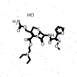 CCN(CC)CCOC(=O)C1=C(COC(N)=O)CSC2C(NC(=O)/C(=N\OC)c3ccco3)C(=O)N12.Cl